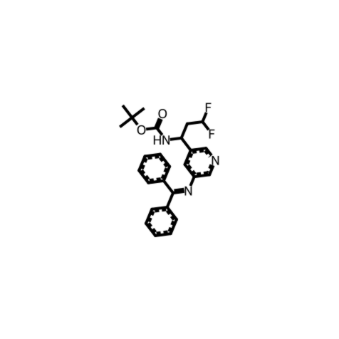 CC(C)(C)OC(=O)NC(CC(F)F)c1cncc(N=C(c2ccccc2)c2ccccc2)c1